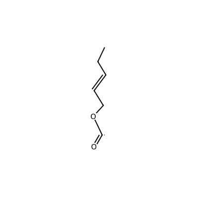 CC/C=C/CO[C]=O